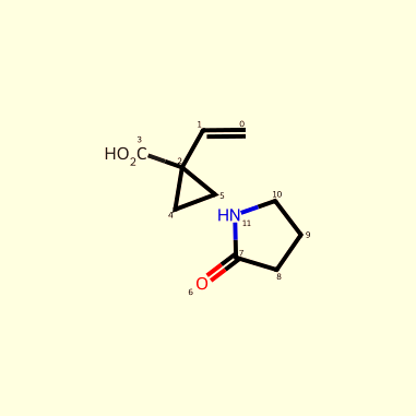 C=CC1(C(=O)O)CC1.O=C1CCCN1